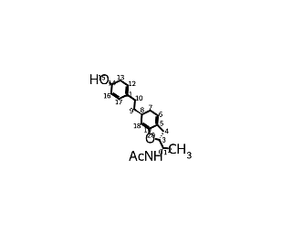 CC(=O)N[C@@H](C)[C@H]1CC2=CC[C@H](CCC3=CCC(O)C=C3)C=C2O1